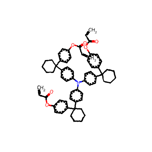 C=CC(=O)Oc1ccc(C2(c3ccc(N(c4ccc(C5(c6ccc(OC(=O)C=C)cc6)CCCCC5)cc4)c4ccc(C5(c6ccc(OC(=O)C=C)cc6)CCCCC5)cc4)cc3)CCCCC2)cc1